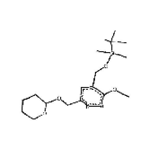 COc1nnc(COC2CCCCO2)cc1CO[Si](C)(C)C(C)(C)C